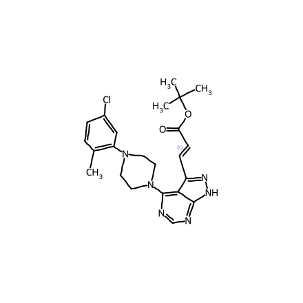 Cc1ccc(Cl)cc1N1CCN(c2ncnc3[nH]nc(/C=C/C(=O)OC(C)(C)C)c23)CC1